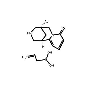 C=CCB(O)O.CC(=O)[C@@]12CNC[C@@H](C1)c1cccc(=O)n1C2